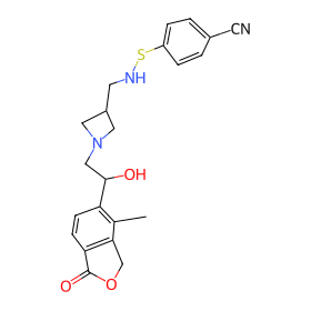 Cc1c(C(O)CN2CC(CNSc3ccc(C#N)cc3)C2)ccc2c1COC2=O